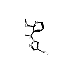 COc1ncccc1[C@H](C)n1cc(N)cn1